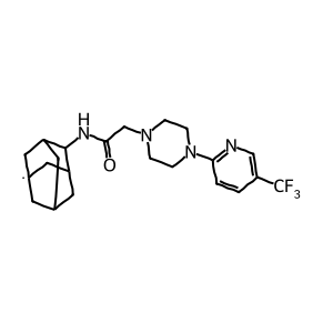 O=C(CN1CCN(c2ccc(C(F)(F)F)cn2)CC1)NC1C2C[C]3CC(C2)CC1C3